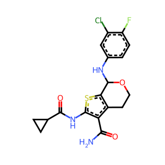 NC(=O)c1c(NC(=O)C2CC2)sc2c1CCOC2Nc1ccc(F)c(Cl)c1